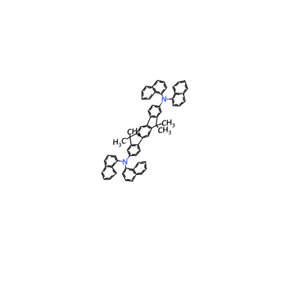 CC1(C)c2cc(N(c3cccc4ccccc34)c3cccc4ccccc34)ccc2-c2cc3c(cc21)-c1ccc(N(c2cccc4ccccc24)c2cccc4ccccc24)cc1C3(C)C